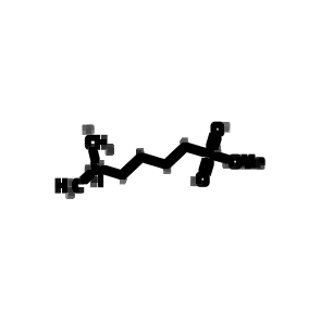 COS(=O)(=O)CCCC[SiH](C)C